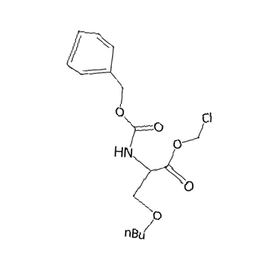 CCCCOCC(NC(=O)OCc1ccccc1)C(=O)OCCl